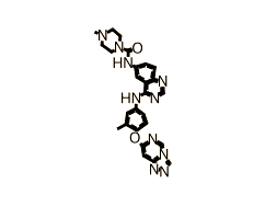 Cc1cc(Nc2ncnc3ccc(NC(=O)N4CCN(C)CC4)cc23)ccc1Oc1cc2nncn2cn1